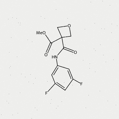 COC(=O)C1(C(=O)Nc2cc(F)cc(F)c2)COC1